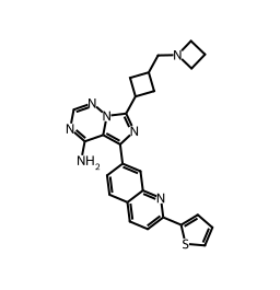 Nc1ncnn2c(C3CC(CN4CCC4)C3)nc(-c3ccc4ccc(-c5cccs5)nc4c3)c12